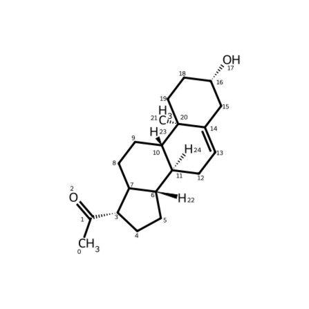 CC(=O)[C@H]1CC[C@@H]2C1CC[C@H]1[C@H]2CC=C2C[C@@H](O)CC[C@@]21C